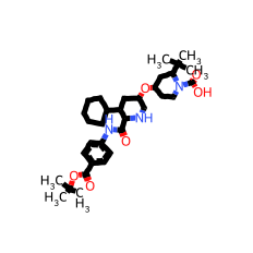 CC(C)(C)OC(=O)c1ccc(NC(=O)C2NCC(OC3CCN(C(=O)O)C(C(C)(C)C)C3)CC2C2CCCCC2)cc1